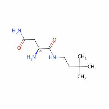 CC(C)(C)CCNC(=O)[C@@H](N)CC(N)=O